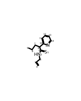 C=CCNC(=S)C(CCC)c1ccccn1